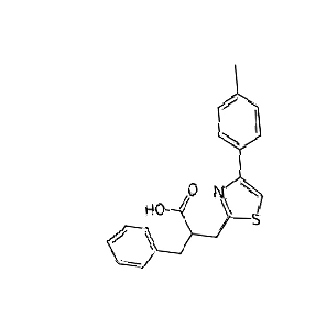 Cc1ccc(-c2csc(CC(Cc3ccccc3)C(=O)O)n2)cc1